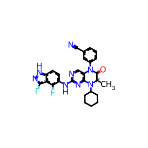 C[C@@H]1C(=O)N(c2cccc(C#N)c2)c2cnc(Nc3ccc4[nH]nc(F)c4c3F)nc2N1C1CCCCC1